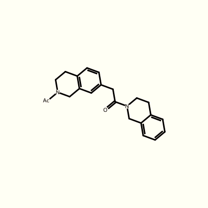 CC(=O)N1CCc2ccc(CC(=O)N3CCc4ccccc4C3)cc2C1